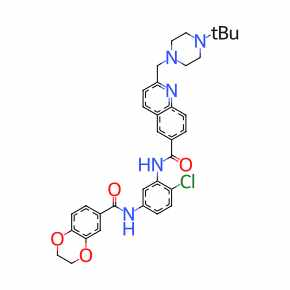 CC(C)(C)N1CCN(Cc2ccc3cc(C(=O)Nc4cc(NC(=O)c5ccc6c(c5)OCCO6)ccc4Cl)ccc3n2)CC1